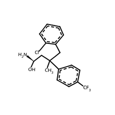 CC(Cc1ccccc1Cl)(C[C@H](N)O)c1ccc(C(F)(F)F)cc1